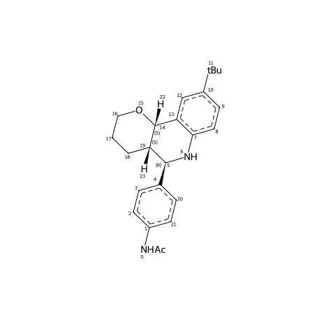 CC(=O)Nc1ccc([C@@H]2Nc3ccc(C(C)(C)C)cc3[C@H]3OCCC[C@H]32)cc1